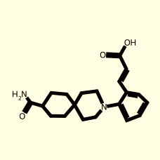 NC(=O)C1CCC2(CC1)CCN(c1ccccc1C=CC(=O)O)CC2